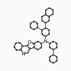 c1ccc(-c2cccc(N(c3ccc(-c4ccc5ccccc5c4)c(-c4ccccc4)c3)c3ccc4c(c3)oc3c5ccccc5ncc43)c2)cc1